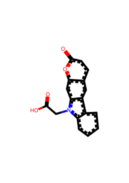 O=C(O)Cn1c2ccccc2c2cc3ccc(=O)oc3cc21